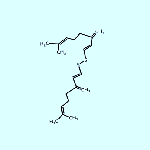 C=C(C=CSSC=CC(=C)CCC=C(C)C)CCC=C(C)C